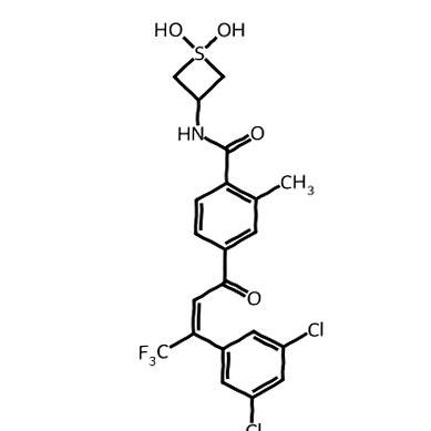 Cc1cc(C(=O)C=C(c2cc(Cl)cc(Cl)c2)C(F)(F)F)ccc1C(=O)NC1CS(O)(O)C1